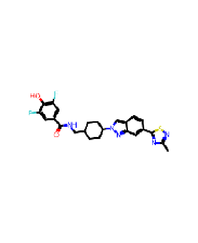 Cc1nsc(-c2ccc3cn(C4CCC(CNC(=O)c5cc(F)c(O)c(F)c5)CC4)nc3c2)n1